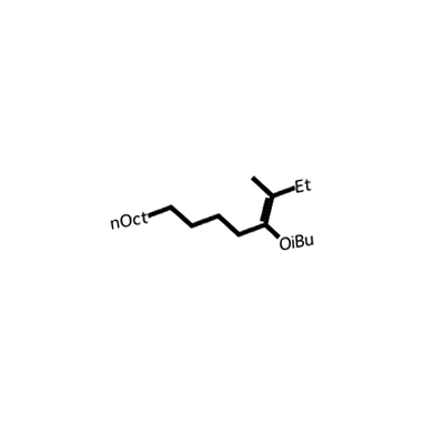 CCCCCCCCCCCC/C(OCC(C)C)=C(\C)CC